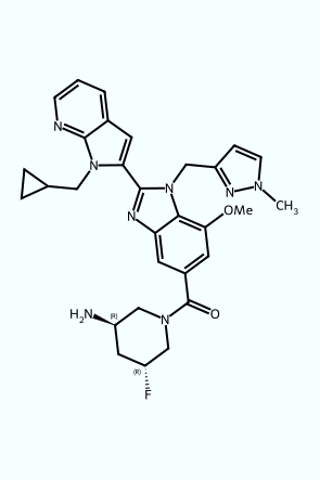 COc1cc(C(=O)N2C[C@H](N)C[C@@H](F)C2)cc2nc(-c3cc4cccnc4n3CC3CC3)n(Cc3ccn(C)n3)c12